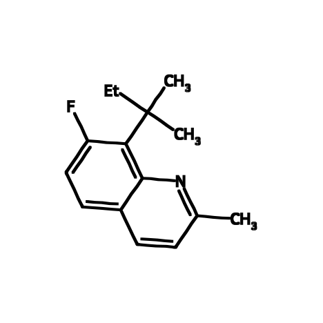 CCC(C)(C)c1c(F)ccc2ccc(C)nc12